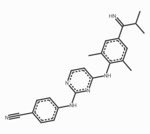 Cc1cc(C(=N)C(C)C)cc(C)c1Nc1ccnc(Nc2ccc(C#N)cc2)n1